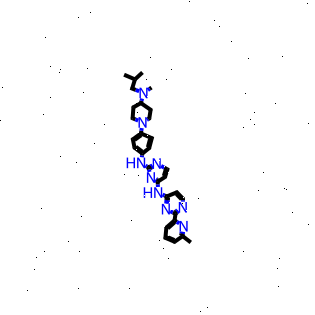 Cc1cccc(-c2nccc(Nc3ccnc(Nc4ccc(N5CCC(N(C)CC(C)C)CC5)cc4)n3)n2)n1